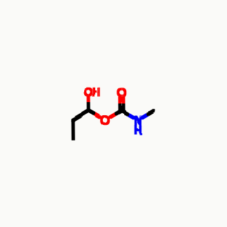 CCC(O)OC(=O)NC